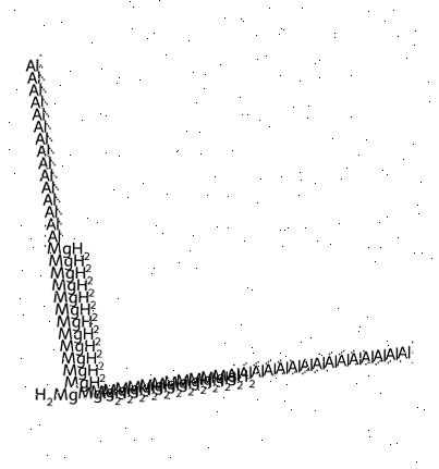 [Al].[Al].[Al].[Al].[Al].[Al].[Al].[Al].[Al].[Al].[Al].[Al].[Al].[Al].[Al].[Al].[Al].[Al].[Al].[Al].[Al].[Al].[Al].[Al].[Al].[Al].[Al].[Al].[Al].[Al].[MgH2].[MgH2].[MgH2].[MgH2].[MgH2].[MgH2].[MgH2].[MgH2].[MgH2].[MgH2].[MgH2].[MgH2].[MgH2].[MgH2].[MgH2].[MgH2].[MgH2].[MgH2].[MgH2].[MgH2].[MgH2].[MgH2].[MgH2].[MgH2].[MgH2]